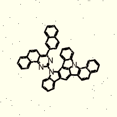 c1ccc2cc(-c3nc(-n4c5ccccc5c5cc6c7ccc8ccccc8c7n7c8ccccc8c(c54)c67)nc4c3ccc3ccccc34)ccc2c1